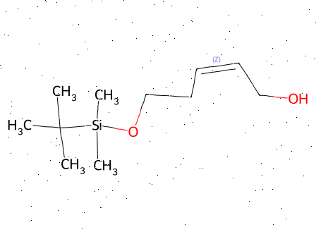 CC(C)(C)[Si](C)(C)OCC/C=C\CO